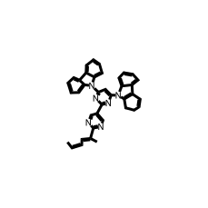 C/C=C\C=C(/C)c1ncc(-c2nc(-n3c4c(c5ccccc53)C=CCC4)cc(-n3c4ccccc4c4ccccc43)n2)cn1